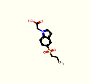 CCCS(=O)(=O)c1ccc2c(ccn2CC(=O)O)c1